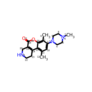 Cc1c(N2CCN(C)CC2)cc(C)c2c3c(c(=O)oc12)CNCC3